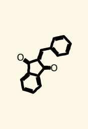 O=C1C(=Cc2ccccc2)C(=O)c2ccccc21